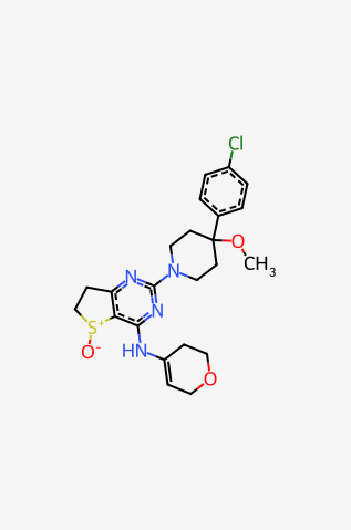 COC1(c2ccc(Cl)cc2)CCN(c2nc3c(c(NC4=CCOCC4)n2)[S+]([O-])CC3)CC1